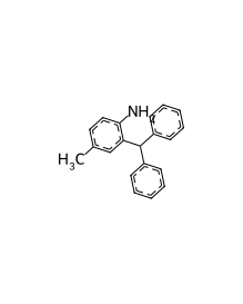 Cc1ccc(N)c(C(c2ccccc2)c2ccccc2)c1